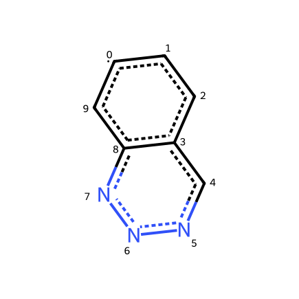 [c]1ccc2cnnnc2c1